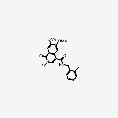 CCn1cc(C(=O)NCc2ccccc2C)c2cc(OC)c(OC)cc2c1=O